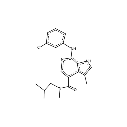 Cc1c[nH]c2c(Nc3cccc(Cl)c3)ncc(C(=O)N(C)CC(C)C)c12